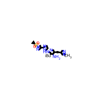 CCC(C)c1c(Nc2ccnc(-c3cnn(S(=O)(=O)C4CC4)c3)n2)ncc(C#Cc2cnn(C)c2)c1N